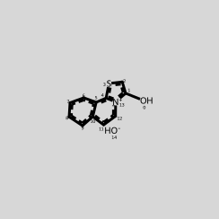 Oc1csc2c3ccccc3cc[n+]12.[OH-]